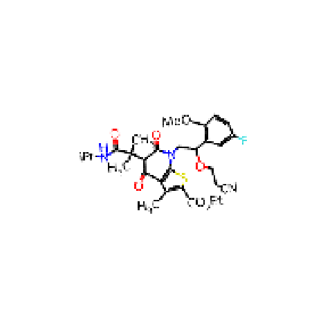 CCOC(=O)c1sc2c(c1C)C(=O)C(C(C)(C)C(=O)NC(C)C)C(=O)N2C[C@H](OCCC#N)c1cc(F)ccc1OC